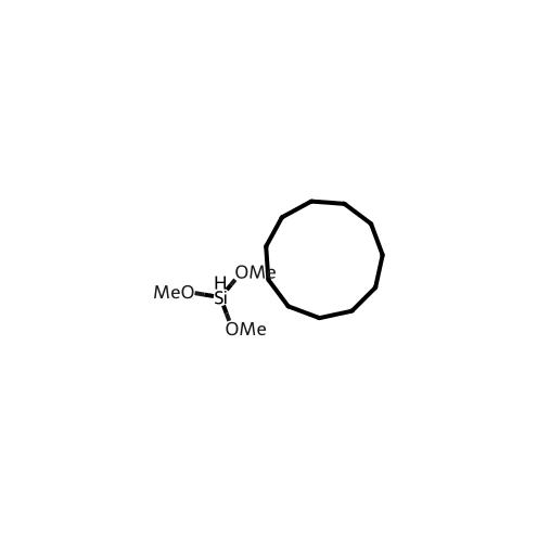 C1CCCCCCCCCC1.CO[SiH](OC)OC